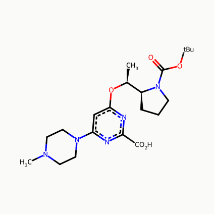 C[C@H](Oc1cc(N2CCN(C)CC2)nc(C(=O)O)n1)[C@@H]1CCCN1C(=O)OC(C)(C)C